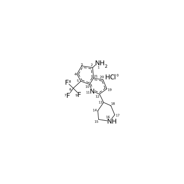 Cl.Nc1ccc(C(F)(F)F)c2nc(C3CCNCC3)ccc12